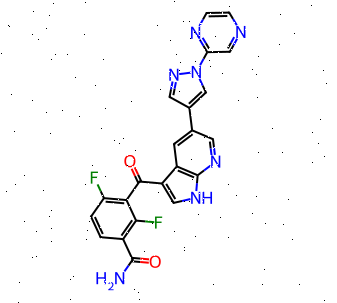 NC(=O)c1ccc(F)c(C(=O)c2c[nH]c3ncc(-c4cnn(-c5cnccn5)c4)cc23)c1F